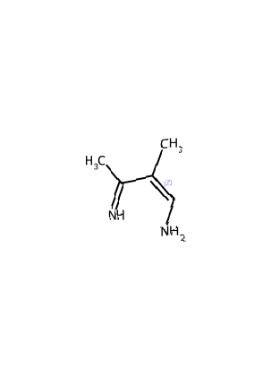 CC(=N)/C(C)=C\N